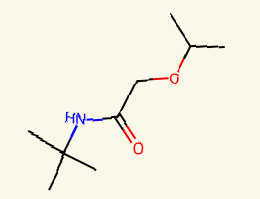 CC(C)OCC(=O)NC(C)(C)C